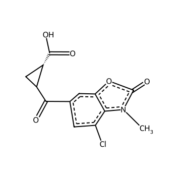 Cn1c(=O)oc2cc(C(=O)C3C[C@@H]3C(=O)O)cc(Cl)c21